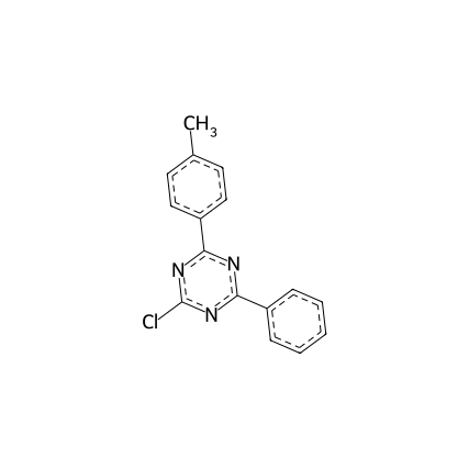 Cc1ccc(-c2nc(Cl)nc(-c3ccccc3)n2)cc1